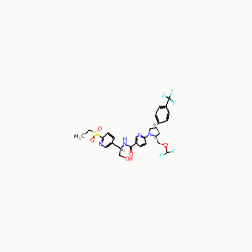 CCS(=O)(=O)c1ccc([C@H](CO)NC(=O)c2ccc(N3C[C@H](c4ccc(C(F)(F)F)cc4)C[C@H]3COC(F)F)nc2)cn1